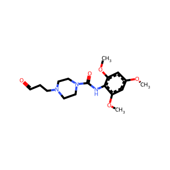 COc1cc(OC)c(NC(=O)N2CCN(CCC=O)CC2)c(OC)c1